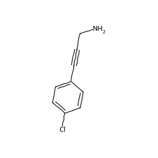 NCC#Cc1ccc(Cl)cc1